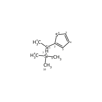 C[SiH](c1cccs1)[Si](C)(C)C